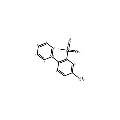 Nc1ccc(-c2ccccc2)c(S(=O)(=O)F)c1